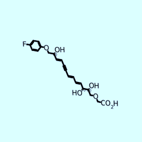 O=C(O)COC[C@@H](O)[C@H](O)C=CC=CC#CC=C[C@@H](O)COc1ccc(F)cc1